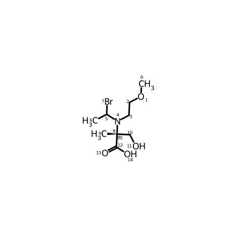 COCCN(C(C)Br)[C@](C)(CO)C(=O)O